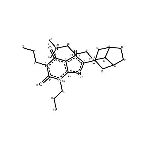 CCCn1c(=O)c2[nH]c(C3CC4CCC(C3)C4NCCCN(C)C)nc2n(CCC)c1=O